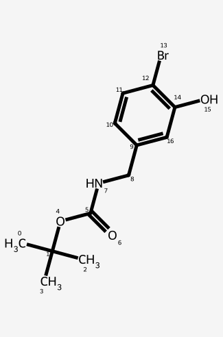 CC(C)(C)OC(=O)NCc1ccc(Br)c(O)c1